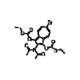 CCOC(=O)Oc1c2ccc(Br)ccc-2c(OC(=O)OCC)c1N(C(C)=O)C(C)=O